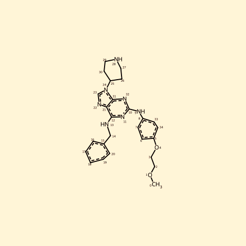 COCCOc1ccc(Nc2nc(NCc3ccccc3)c3ncn(C4CCNCC4)c3n2)cc1